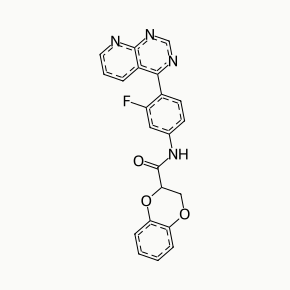 O=C(Nc1ccc(-c2ncnc3ncccc23)c(F)c1)C1COc2ccccc2O1